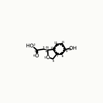 O=C(O)C[C@@H]1OCc2cc(O)ccc21